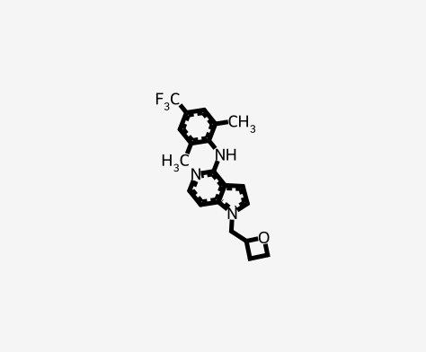 Cc1cc(C(F)(F)F)cc(C)c1Nc1nccc2c1ccn2CC1CCO1